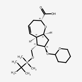 CC(C)(C)[Si](C)(C)OC[C@@H]1[C@H]2C=CC[C@H](C(=O)O)O[C@H]2C[C@H]1OC1CCCCO1